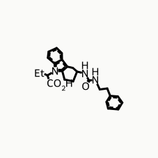 CCC(C(=O)O)n1c2c(c3ccccc31)CC(NC(=O)NCCc1ccccc1)CC2